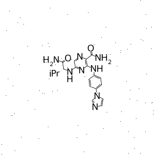 CC(C)[C@@H](Nc1cnc(C(N)=O)c(Nc2ccc(-n3ccnc3)cc2)n1)C(N)=O